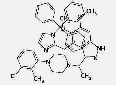 COc1cc2[nH]nc(C(C)N3CCN(c4cccc(Cl)c4C)CC3)c2c(Cc2nccn2C(c2ccccc2)(c2ccccc2)c2ccccc2)c1OC